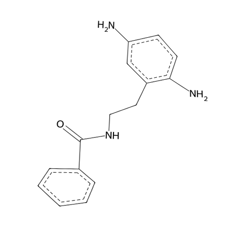 Nc1ccc(N)c(CCNC(=O)c2ccccc2)c1